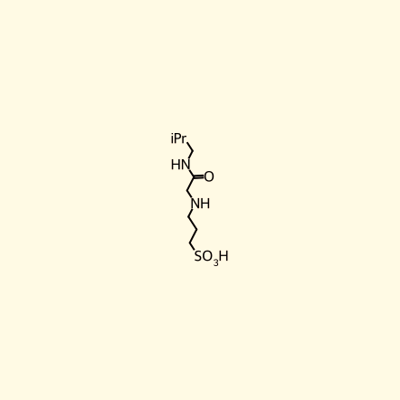 CC(C)CNC(=O)CNCCCS(=O)(=O)O